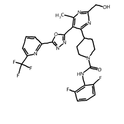 Cc1nc(CO)nc(C2CCN(C(=O)Nc3c(F)cccc3F)CC2)c1-c1nnc(-c2cccc(C(F)(F)F)n2)o1